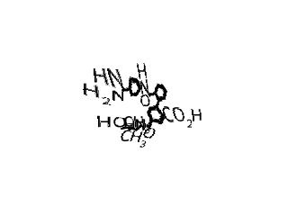 CC(C)(CO)CNC(=O)c1ccc(-c2ccccc2C(=O)Nc2ccc(C(=N)N)cc2)c(C(=O)O)c1